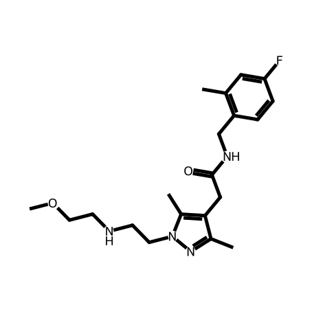 COCCNCCn1nc(C)c(CC(=O)NCc2ccc(F)cc2C)c1C